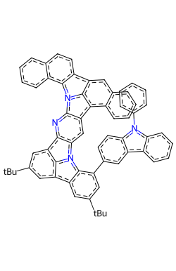 CC(C)(C)c1cc(-c2ccc3c(c2)c2ccccc2n3-c2ccccc2)c2c(c1)c1cc(C(C)(C)C)cc3c4nc5c(cc4n2c13)c1c2ccccc2cc2c3ccc4ccccc4c3n5c21